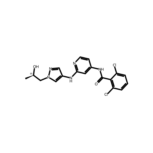 C[C@@H](O)Cn1cc(Nc2cc(NC(=O)c3c(Cl)cccc3Cl)ccn2)cn1